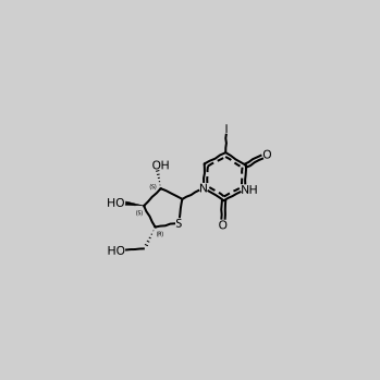 O=c1[nH]c(=O)n(C2S[C@H](CO)[C@@H](O)[C@@H]2O)cc1I